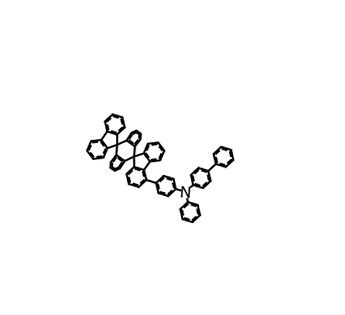 c1ccc(-c2ccc(N(c3ccccc3)c3ccc(-c4cccc5c4-c4ccccc4C54c5ccccc5C5(c6ccccc6-c6ccccc65)c5ccccc54)cc3)cc2)cc1